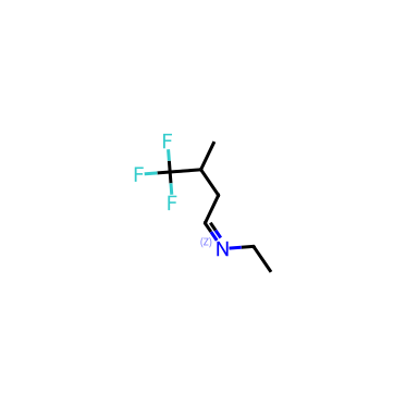 CC/N=C\CC(C)C(F)(F)F